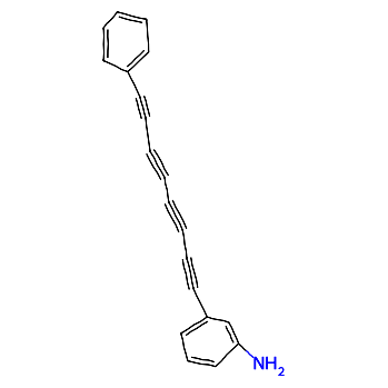 Nc1cccc(C#CC#CC#CC#Cc2ccccc2)c1